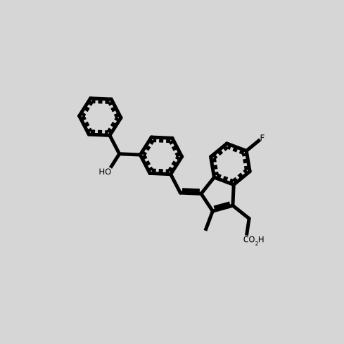 CC1=C(CC(=O)O)c2cc(F)ccc2C1=Cc1cccc(C(O)c2ccccc2)c1